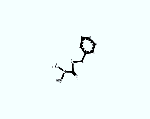 CCCCN(CCCC)C(=O)OCc1ccccc1